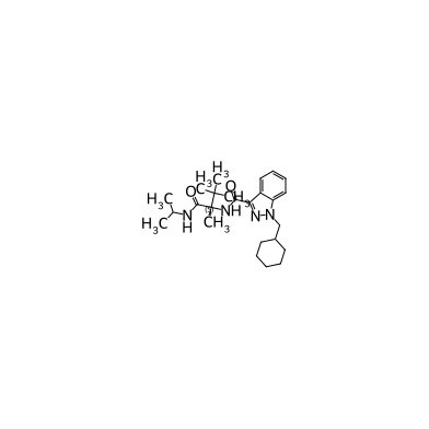 CC(C)NC(=O)[C@@](C)(NC(=O)c1nn(CC2CCCCC2)c2ccccc12)C(C)(C)C